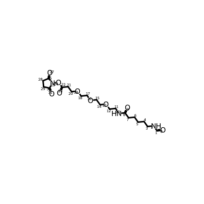 O=CNCCCCCC(=O)NCCOCCOCCOCCC(=O)ON1C(=O)CCC1=O